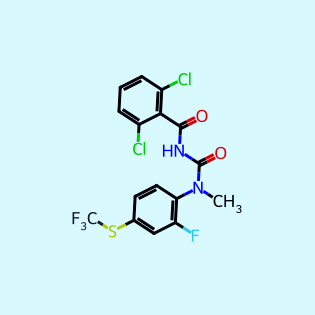 CN(C(=O)NC(=O)c1c(Cl)cccc1Cl)c1ccc(SC(F)(F)F)cc1F